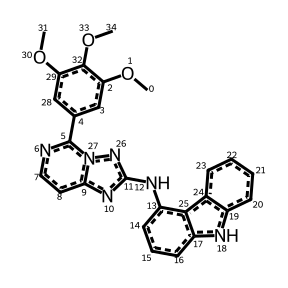 COc1cc(-c2nccc3nc(Nc4cccc5[nH]c6ccccc6c45)nn23)cc(OC)c1OC